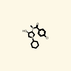 CN(C(=O)c1ccc(Cl)cc1)[C@@H]1CN(C2CCCCC2)C[C@H]1O